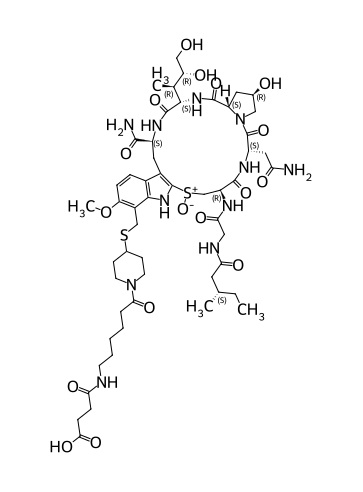 CC[C@H](C)CC(=O)NCC(=O)N[C@H]1C[S+]([O-])c2[nH]c3c(CSC4CCN(C(=O)CCCCCNC(=O)CCC(=O)O)CC4)c(OC)ccc3c2C[C@@H](C(N)=O)NC(=O)[C@H]([C@@H](C)[C@@H](O)CO)NC(=O)[C@@H]2C[C@@H](O)CN2C(=O)[C@H](CC(N)=O)NC1=O